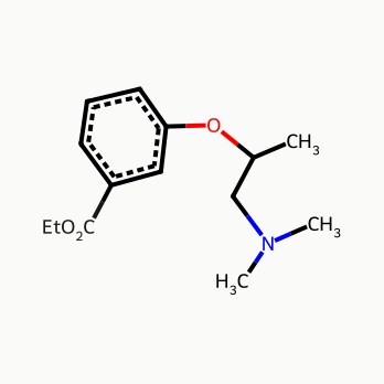 CCOC(=O)c1cccc(OC(C)CN(C)C)c1